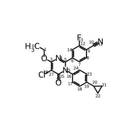 CCOc1nc(-c2ccc(C#N)c(F)c2)n(-c2ccc(C3CC3)cc2)c(=O)c1Cl